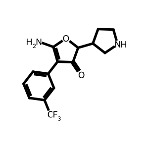 NC1=C(c2cccc(C(F)(F)F)c2)C(=O)C(C2CCNC2)O1